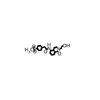 CS(=O)(=O)c1ccc(CC(=O)Nc2cccc3c(=O)n(CCO)ccc23)cc1